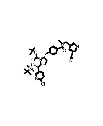 CN(Cc1cncc(C#N)c1)C(=O)c1ccc(C[C@@H]2CC[C@H]([C@H](O[Si](C)(C)C(C)(C)C)c3ccc(Cl)nc3)N2C(=O)OC(C)(C)C)cc1